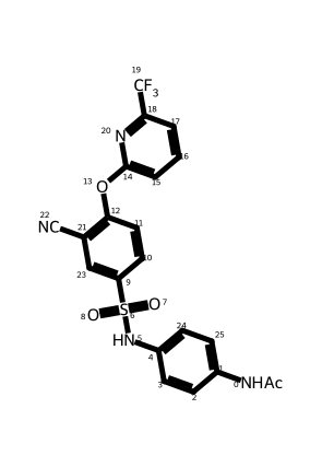 CC(=O)Nc1ccc(NS(=O)(=O)c2ccc(Oc3cccc(C(F)(F)F)n3)c(C#N)c2)cc1